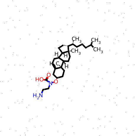 CC(C)CCC[C@@H](C)[C@H]1CC[C@H]2[C@@H]3CC=C4C[C@@H](ON(CCN)C(=O)O)CC[C@]4(C)[C@H]3CC[C@]12C